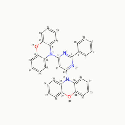 c1ccc(-c2nc(N3c4ccccc4Oc4ccccc43)cc(N3c4ccccc4Oc4ccccc43)n2)cc1